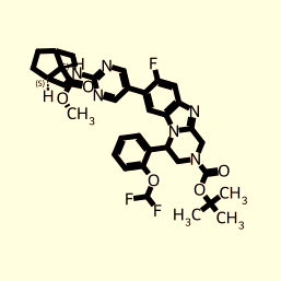 COC(=O)[C@H]1C2CC[C@@H]1CN(c1ncc(-c3cc4c(cc3F)nc3n4C(c4ccccc4OC(F)F)CN(C(=O)OC(C)(C)C)C3)cn1)C2